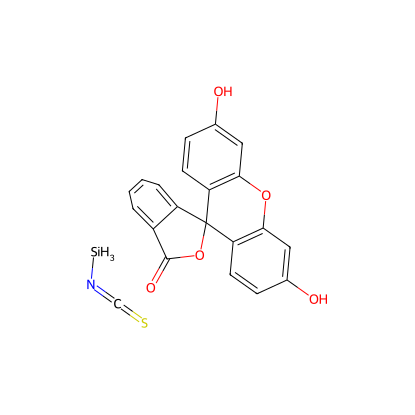 O=C1OC2(c3ccc(O)cc3Oc3cc(O)ccc32)c2ccccc21.[SiH3]N=C=S